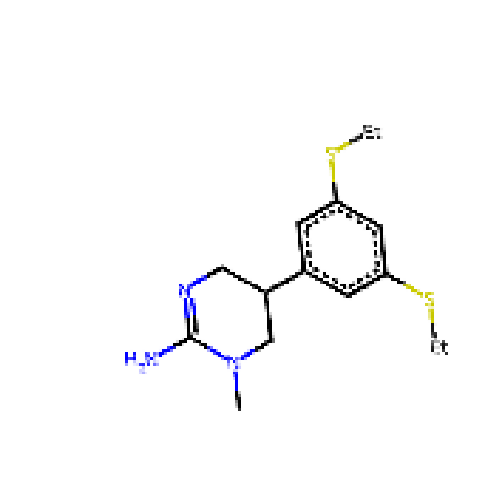 CCSc1cc(SCC)cc(C2CN=C(N)N(C)C2)c1